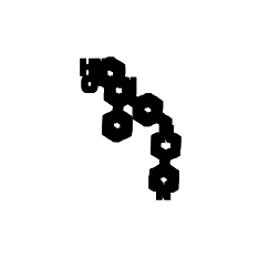 O=c1[nH]ccc2nc(-c3ccc(CN4CCC(c5ccncc5)CC4)cc3)c(-c3ccccc3)cc12